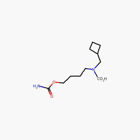 NC(=O)OCCCCN(CC1CCC1)C(=O)O